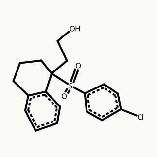 O=S(=O)(c1ccc(Cl)cc1)C1(CCO)CCCc2ccccc21